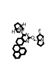 F[C@H]1CN2CCC[C@@]2(COc2nc3c(c(N4C[C@H]5CC[C@@H](C4)N5)n2)CCC2(CCc4cccc5cccc2c45)C3)C1